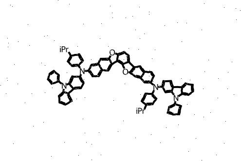 CC(C)c1ccc(N(c2ccc3cc4c(cc3c2)oc2c4ccc3oc4cc5cc(N(c6ccc(C(C)C)cc6)c6ccc7c8ccccc8n(-c8ccccc8)c7c6)ccc5cc4c32)c2ccc3c4ccccc4n(-c4ccccc4)c3c2)cc1